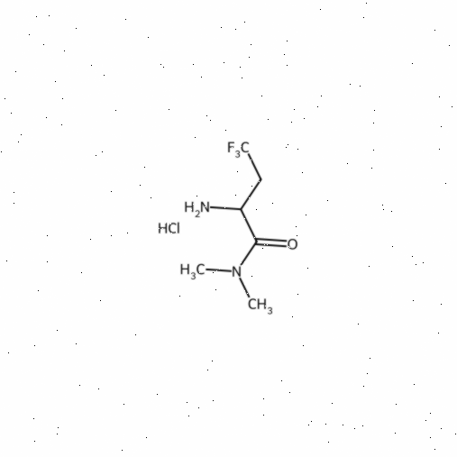 CN(C)C(=O)C(N)CC(F)(F)F.Cl